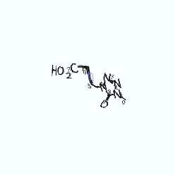 Cn1nnn(/C=C/C(=O)O)c1=O